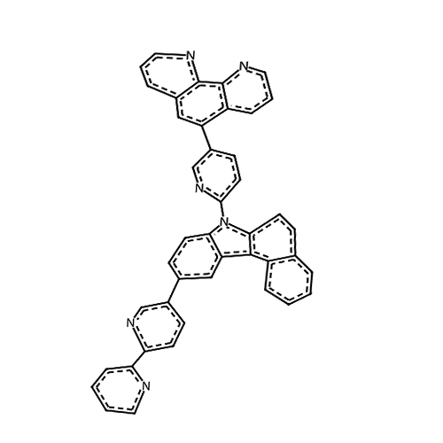 c1ccc(-c2ccc(-c3ccc4c(c3)c3c5ccccc5ccc3n4-c3ccc(-c4cc5cccnc5c5ncccc45)cn3)cn2)nc1